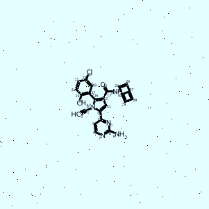 C#Cn1c(-c2ccnc(N)n2)cc(C(N)=O)c1-c1cc(Cl)ccc1C.c1cc2ccc1-2